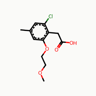 COCCOc1cc(C)cc(Cl)c1CC(=O)O